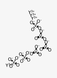 [O]=[V](=[O])[O-].[O]=[V](=[O])[O-].[O]=[V](=[O])[O-].[O]=[V]([O-])([O-])[O-].[O]=[V]([O-])([O-])[O-].[O]=[V]([O-])([O-])[O-].[Y+3].[Y+3].[Y+3].[Y+3]